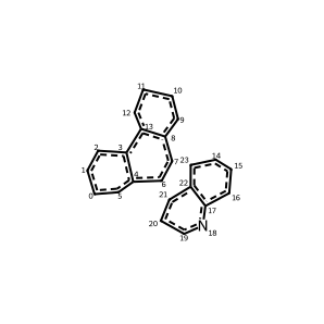 c1ccc2c(c1)ccc1ccccc12.c1ccc2ncccc2c1